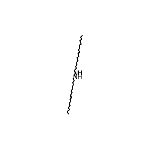 CCCCCCCCC=CCCCCCCCCNCNCCCCCCCCC=CCCCCCCCC